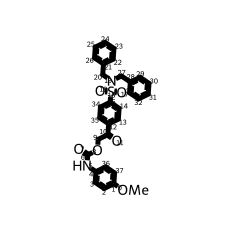 COc1ccc(NC(=O)OCC(=O)c2ccc(S(=O)(=O)N(Cc3ccccc3)Cc3ccccc3)cc2)cc1